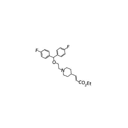 CCOC(=O)C=CC1CCN(CCOC(c2ccc(F)cc2)c2ccc(F)cc2)CC1